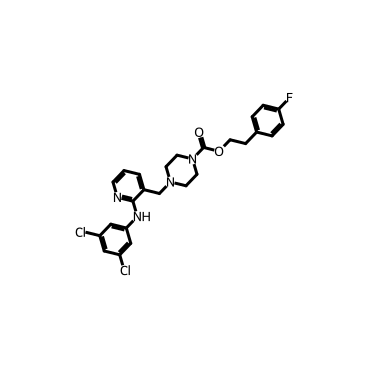 O=C(OCCc1ccc(F)cc1)N1CCN(Cc2cccnc2Nc2cc(Cl)cc(Cl)c2)CC1